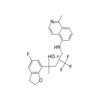 Cc1nccc2c(NC[C@](O)(CC(C)(C)c3cc(F)cc4c3OCC4)C(F)(F)F)cccc12